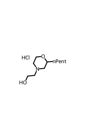 CCCCCC1CN(CCO)CCO1.Cl